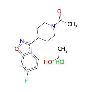 CC(=O)N1CCC(c2noc3cc(F)ccc23)CC1.CCO.Cl